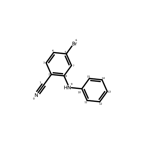 N#Cc1ccc(Br)cc1Nc1ccccc1